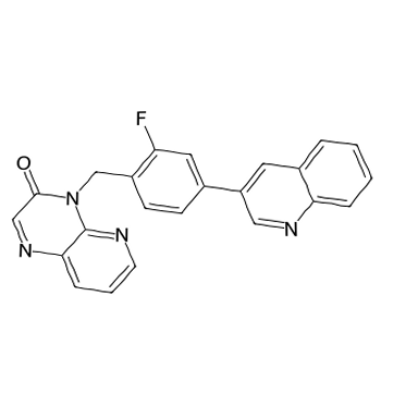 O=c1cnc2cccnc2n1Cc1ccc(-c2cnc3ccccc3c2)cc1F